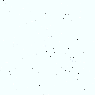 CCOc1c2c(c(OCC)c3ccccc13)C(=O)N(c1ccc(C(CC)C(=O)O)cc1)C2=O